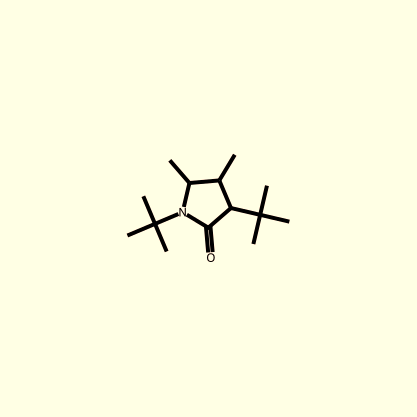 CC1C(C)N(C(C)(C)C)C(=O)C1C(C)(C)C